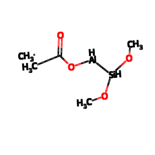 CO[SiH](OC)[AlH][O]C(C)=O.[CH3]